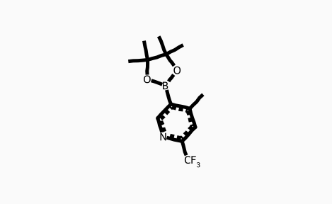 Cc1cc(C(F)(F)F)ncc1B1OC(C)(C)C(C)(C)O1